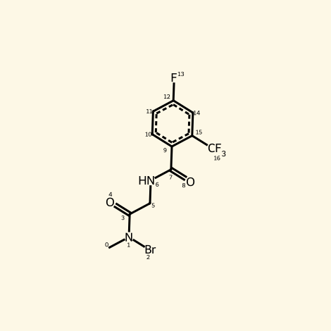 CN(Br)C(=O)CNC(=O)c1ccc(F)cc1C(F)(F)F